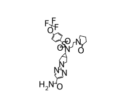 NC(=O)c1cnc(N2CC3C(C2)C3N(CCN2CCCC2=O)S(=O)(=O)c2ccc(OC(F)(F)F)cc2)nc1